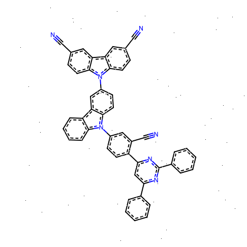 N#Cc1ccc2c(c1)c1cc(C#N)ccc1n2-c1ccc2c(c1)c1ccccc1n2-c1ccc(-c2cc(-c3ccccc3)nc(-c3ccccc3)n2)c(C#N)c1